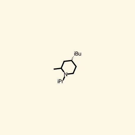 CC[C@@H](C)C1CCN(C(C)C)C(C)C1